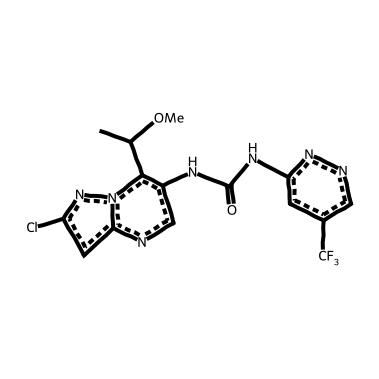 COC(C)c1c(NC(=O)Nc2cc(C(F)(F)F)cnn2)cnc2cc(Cl)nn12